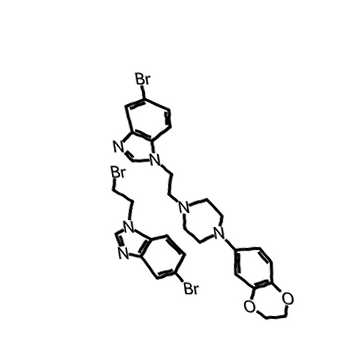 BrCCn1cnc2cc(Br)ccc21.Brc1ccc2c(c1)ncn2CCN1CCN(c2ccc3c(c2)OCCO3)CC1